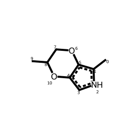 Cc1[nH]cc2c1OCC(C)O2